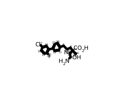 NCCC(CO)(CC(N)Cc1ccc(-c2cc(Cl)ccc2F)cc1)C(=O)O